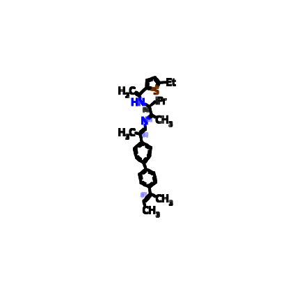 C=C(N[C@H](/C(C)=N/C=C(\C)c1ccc(-c2ccc(/C(C)=C/C)cc2)cc1)C(C)C)c1ccc(CC)s1